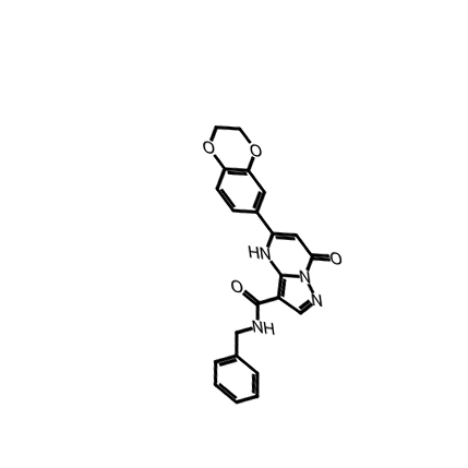 O=C(NCc1ccccc1)c1cnn2c(=O)cc(-c3ccc4c(c3)OCCO4)[nH]c12